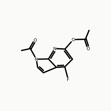 CC(=O)Oc1cc(F)c2ccn(C(C)=O)c2n1